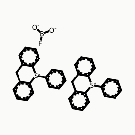 [O-]B([O-])F.c1ccc([S+]2c3ccccc3Cc3ccccc32)cc1.c1ccc([S+]2c3ccccc3Cc3ccccc32)cc1